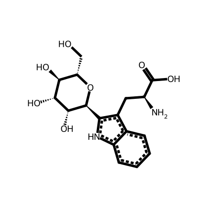 N[C@@H](Cc1c([C@@H]2O[C@@H](CO)[C@H](O)[C@@H](O)[C@H]2O)[nH]c2ccccc12)C(=O)O